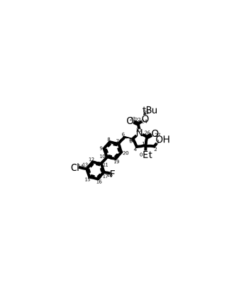 CCC1(CO)C[C@@H](Cc2ccc(-c3cc(Cl)ccc3F)cc2)N(C(=O)OC(C)(C)C)C1=O